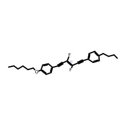 CCCCCCOc1ccc(C#C/C(F)=C(\F)C#Cc2ccc(CCCC)cc2)cc1